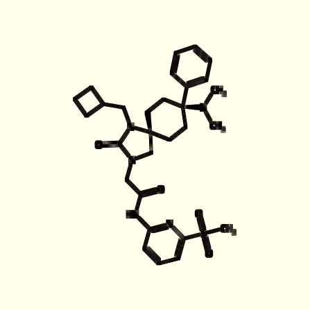 CN(C)[C@]1(c2ccccc2)CC[C@@]2(CC1)CN(CC(=O)Nc1cccc(S(C)(=O)=O)n1)C(=O)N2CC1CCC1